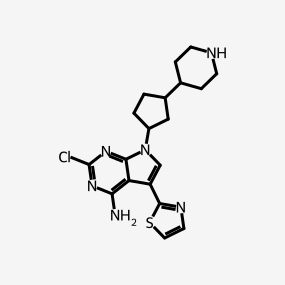 Nc1nc(Cl)nc2c1c(-c1nccs1)cn2C1CCC(C2CCNCC2)C1